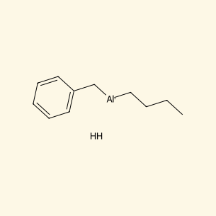 CCC[CH2][Al][CH2]c1ccccc1.[HH]